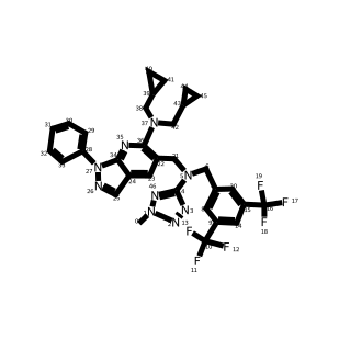 Cn1nnc(N(Cc2cc(C(F)(F)F)cc(C(F)(F)F)c2)Cc2cc3cnn(-c4ccccc4)c3nc2N(CC2CC2)CC2CC2)n1